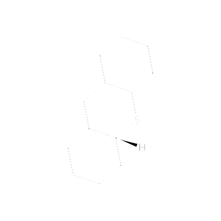 C1CCC2S[C@@H]3CCCCC3CC2C1